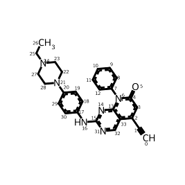 C#Cc1cc(=O)n(-c2ccccc2)c2nc(Nc3ccc(N4CCN(CC)CC4)cc3)ncc12